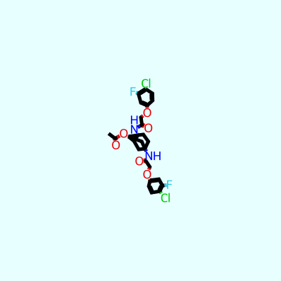 CC(=O)O[C@@]12CC3(NC(=O)COc4ccc(Cl)c(F)c4)CCC1(NC(=O)COc1ccc(Cl)c(F)c1)C2C3